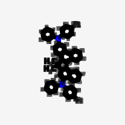 CCc1ccc(N(c2ccccc2)c2ccc3c4c(c5ccccc5c3c2)-c2c(cc(N(c3ccccc3)c3ccc(CC)cc3)c3ccccc23)C4(C)C)cc1